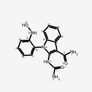 NC(=O)Nc1c(C(N)=O)c2ccccc2n1-c1ccccc1NO